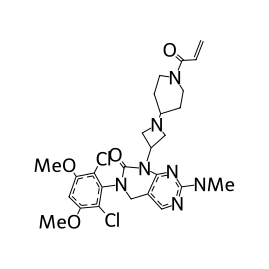 C=CC(=O)N1CCC(N2CC(N3C(=O)N(c4c(Cl)c(OC)cc(OC)c4Cl)Cc4cnc(NC)nc43)C2)CC1